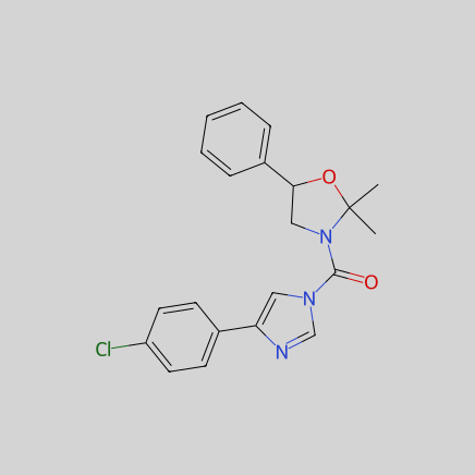 CC1(C)OC(c2ccccc2)CN1C(=O)n1cnc(-c2ccc(Cl)cc2)c1